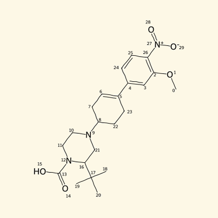 COc1cc(C2=CCC(N3CCN(C(=O)O)C(C(C)(C)C)C3)CC2)ccc1[N+](=O)[O-]